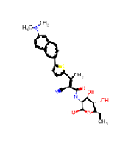 CC[C@H]1OC(O)[C@H](NC(=O)/C(C#N)=C(\C)c2ccc(-c3ccc4cc(N(C)C)ccc4c3)s2)[C@@H](O)[C@@H]1O